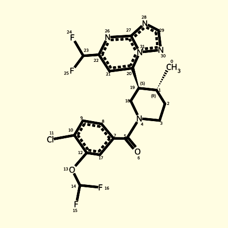 C[C@@H]1CCN(C(=O)c2ccc(Cl)c(OC(F)F)c2)C[C@H]1c1cc(C(F)F)nc2ncnn12